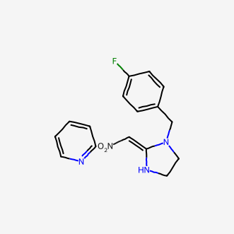 O=[N+]([O-])C=C1NCCN1Cc1ccc(F)cc1.c1ccncc1